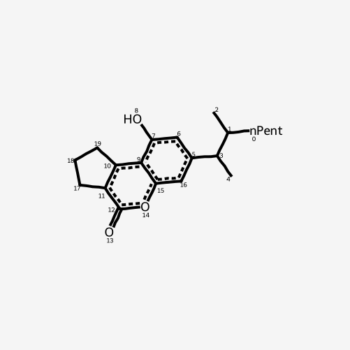 CCCCCC(C)C(C)c1cc(O)c2c3c(c(=O)oc2c1)CCC3